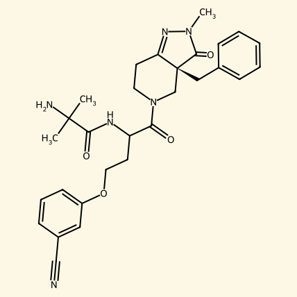 CN1N=C2CCN(C(=O)C(CCOc3cccc(C#N)c3)NC(=O)C(C)(C)N)C[C@@]2(Cc2ccccc2)C1=O